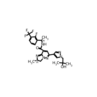 C[C@@H]1CN2N=C(c3cnn(CC(C)(C)O)c3)C=C(C(=O)N[C@H](C)c3cccc(C(F)(F)F)c3F)C2=N1